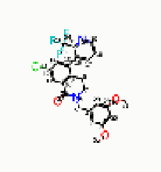 COc1cc(CN2CCc3c(cc(Cl)cc3-c3cccnc3C(F)(F)F)C2=O)cc(OC)c1